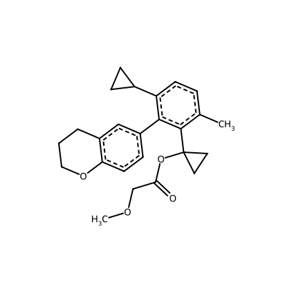 COCC(=O)OC1(c2c(C)ccc(C3CC3)c2-c2ccc3c(c2)CCCO3)CC1